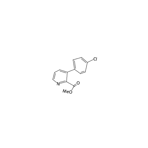 COC(=O)c1ncccc1-c1ccc(Cl)cc1